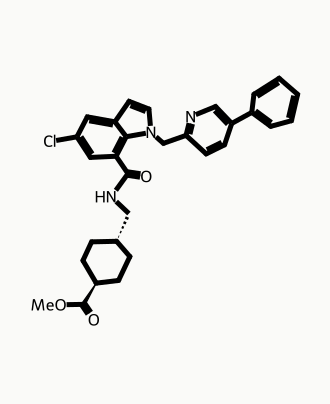 COC(=O)[C@H]1CC[C@H](CNC(=O)c2cc(Cl)cc3ccn(Cc4ccc(-c5ccccc5)cn4)c23)CC1